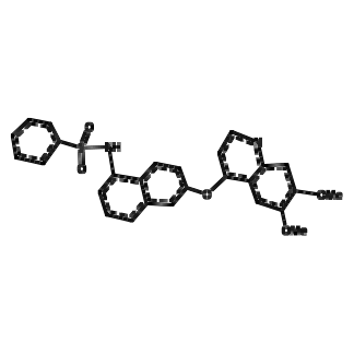 COc1cc2nccc(Oc3ccc4c(NS(=O)(=O)c5ccccc5)cccc4c3)c2cc1OC